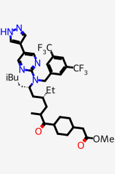 CC[C@@H](C)C[C@@H](C[C@H](CC)CC(C)C(=O)C1CCC(CC(=O)OC)CC1)N(Cc1cc(C(F)(F)F)cc(C(F)(F)F)c1)c1ncc(-c2cn[nH]c2)cn1